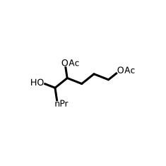 CCCC(O)C(CCCOC(C)=O)OC(C)=O